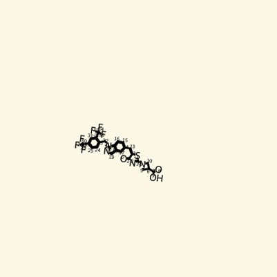 O=C1N=C(N2CC(C(=O)O)C2)SC1=Cc1ccc2c(cnn2Cc2ccc(C(F)(F)F)cc2C(F)(F)F)c1